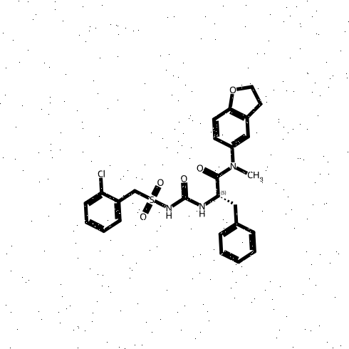 CN(C(=O)[C@H](Cc1ccccc1)NC(=O)NS(=O)(=O)Cc1ccccc1Cl)c1ccc2c(c1)CCO2